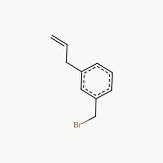 C=CCc1cccc(CBr)c1